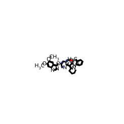 COc1cc2ncnc(OC(/C=N\C(=O)c3c4n(n(-c5ccccc5C)c3=O)CCCC4)=C/C=C/N)c2cc1OC